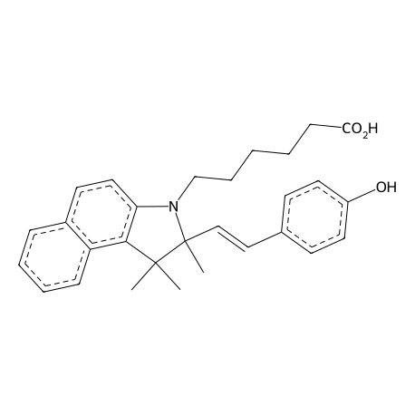 CC1(C)c2c(ccc3ccccc23)N(CCCCCC(=O)O)C1(C)C=Cc1ccc(O)cc1